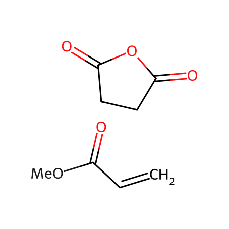 C=CC(=O)OC.O=C1CCC(=O)O1